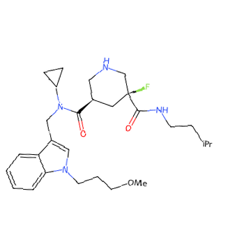 COCCCn1cc(CN(C(=O)[C@H]2CNC[C@](F)(C(=O)NCCC(C)C)C2)C2CC2)c2ccccc21